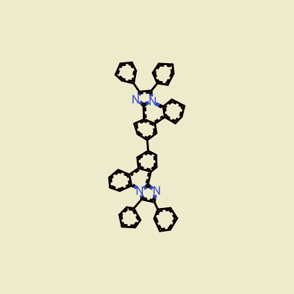 c1ccc(-c2nc3c4ccc(-c5ccc6c(c5)c5ccccc5n5c(-c7ccccc7)c(-c7ccccc7)nc65)cc4c4ccccc4n3c2-c2ccccc2)cc1